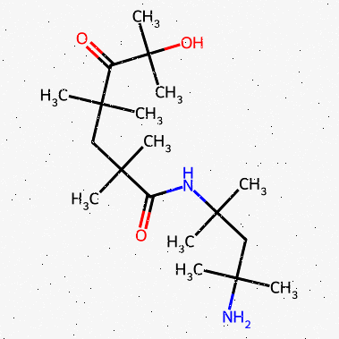 CC(C)(N)CC(C)(C)NC(=O)C(C)(C)CC(C)(C)C(=O)C(C)(C)O